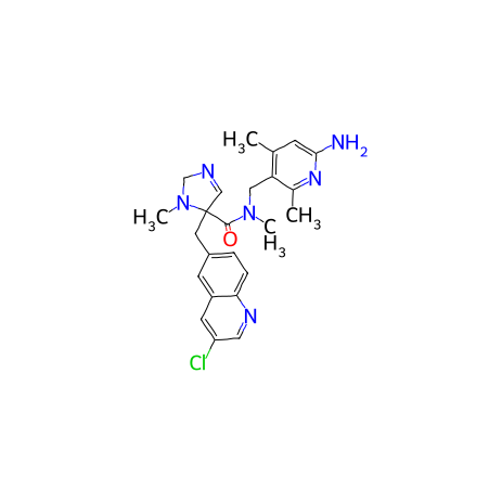 Cc1cc(N)nc(C)c1CN(C)C(=O)C1(Cc2ccc3ncc(Cl)cc3c2)C=NCN1C